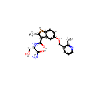 COc1ncccc1COc1ccc2sc(C)c(C(=O)N[C@@H](CO)C(N)=O)c2c1